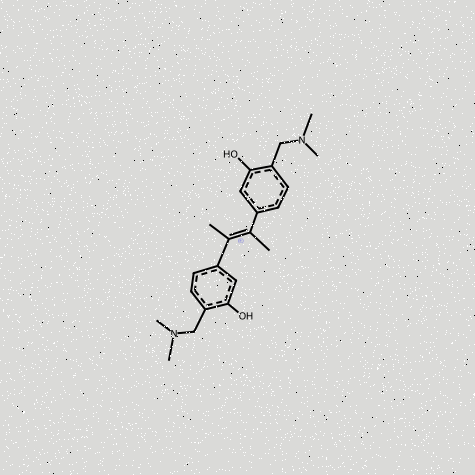 C/C(=C(/C)c1ccc(CN(C)C)c(O)c1)c1ccc(CN(C)C)c(O)c1